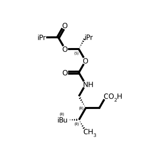 CC[C@@H](C)[C@@H](C)[C@H](CNC(=O)O[C@H](OC(=O)C(C)C)C(C)C)CC(=O)O